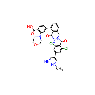 CN/C=C(\C=N)c1cc(Cl)c(C(=O)N2Cc3cccc(-c4ccc(C(=O)O)c(N5CCOCC5)c4)c3C(=O)N2)c(Cl)c1